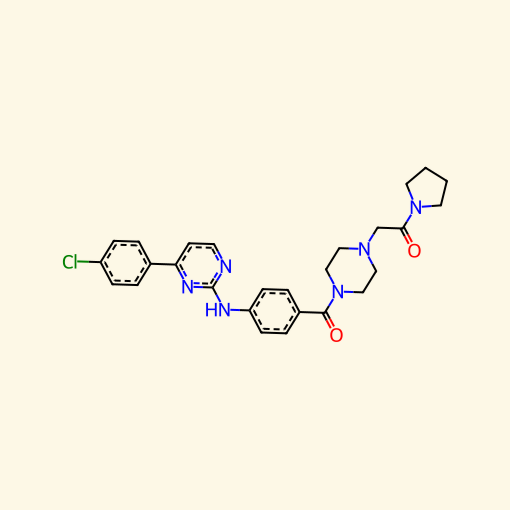 O=C(CN1CCN(C(=O)c2ccc(Nc3nccc(-c4ccc(Cl)cc4)n3)cc2)CC1)N1CCCC1